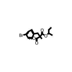 CCC(C)OC(=O)C(C)(Cc1ccc(Br)cc1)C(=O)O